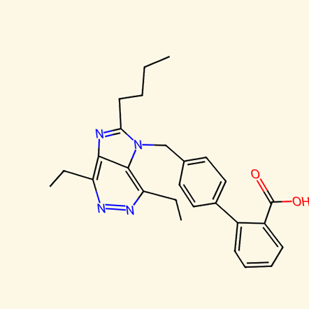 CCCCc1nc2c(CC)nnc(CC)c2n1Cc1ccc(-c2ccccc2C(=O)O)cc1